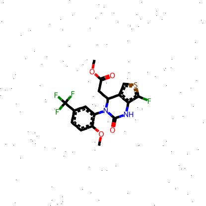 COC(=O)CC1c2csc(F)c2NC(=O)N1c1cc(C(F)(F)F)ccc1OC